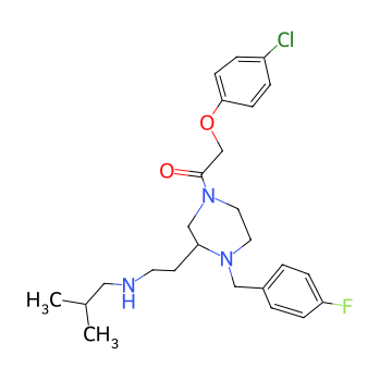 CC(C)CNCCC1CN(C(=O)COc2ccc(Cl)cc2)CCN1Cc1ccc(F)cc1